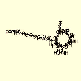 COCCOCCNC(=O)[C@@H]1CSCC(=O)N[C@@H](CCCCNC(=O)COCC(=O)NCCOCCOCCOCCOCCOCCNC(=O)CO/N=C/c2ccc(F)cc2)C(=O)N[C@@H](CS)C(=O)N[C@@H](CCCNC(=N)N)C(=O)NCC(=O)N[C@@H](CC(=O)O)C(=O)N[C@@H](CS)C(=O)N[C@@H](Cc2ccccc2)C(=O)N1